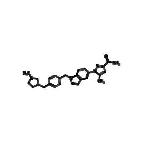 Cc1cc(C(N)=O)nn1-c1ccc2c(ccn2Cc2ccc(CC3CCN(C)C3)cc2)c1